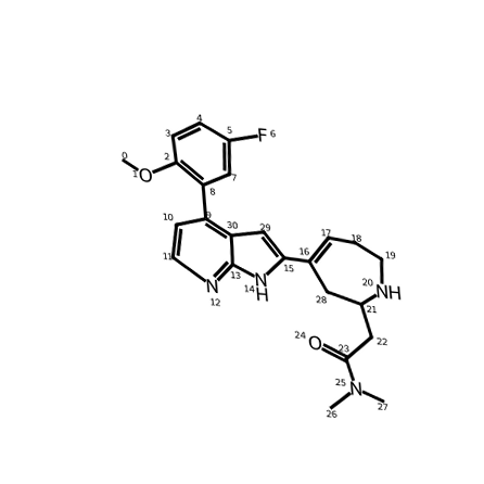 COc1ccc(F)cc1-c1ccnc2[nH]c(C3=CCCNC(CC(=O)N(C)C)C3)cc12